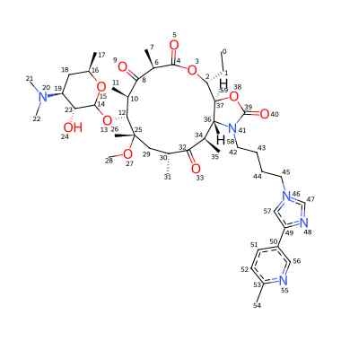 CC[C@H]1OC(=O)[C@H](C)C(=O)[C@H](C)[C@@H](OC2O[C@H](C)C[C@H](N(C)C)[C@H]2O)[C@@](C)(OC)C[C@@H](C)C(=O)[C@H](C)[C@@H]2[C@@H]1OC(=O)N2CCCCn1cnc(-c2ccc(C)nc2)c1